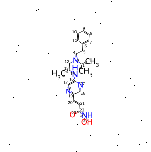 CC(C)N(CCc1ccccc1)C[C@@H](C)Nc1cnc(/C=C/C(=O)NO)cn1